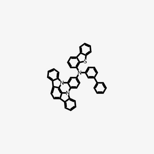 c1ccc(-c2cccc(N(c3ccc4c(c3)n3c5ccccc5c5ccc6c7ccccc7n4c6c53)c3cccc4c3sc3ccccc34)c2)cc1